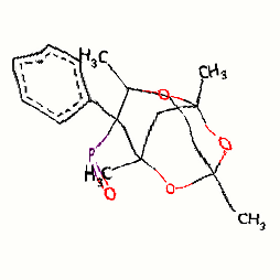 CC12CC3(C)OC(C)(CC(C)(O1)C3(P=O)c1ccccc1)O2